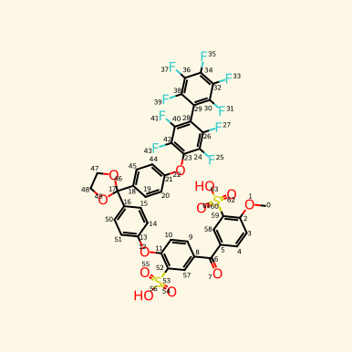 COc1ccc(C(=O)c2ccc(Oc3ccc(C4(c5ccc(Oc6c(F)c(F)c(-c7c(F)c(F)c(F)c(F)c7F)c(F)c6F)cc5)OCCO4)cc3)c(S(=O)(=O)O)c2)cc1S(=O)(=O)O